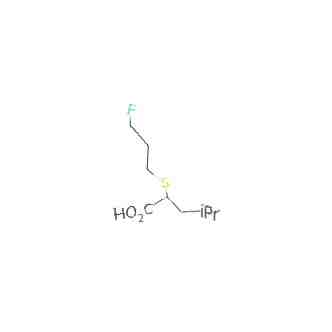 CC(C)CC(SCCCF)C(=O)O